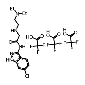 CCN(CC)CCNCC(=O)Nc1n[nH]c2cc(Cl)ccc12.O=C(O)C(F)(F)F.O=C(O)C(F)(F)F.O=C(O)C(F)(F)F